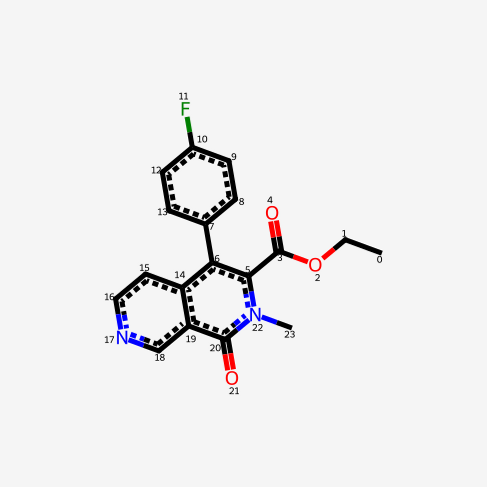 CCOC(=O)c1c(-c2ccc(F)cc2)c2ccncc2c(=O)n1C